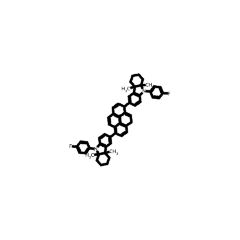 CC12CCCCC1(C)N(c1ccc(F)cc1)c1ccc(-c3ccc4c5c6c(ccc35)C=CC(c3ccc5c(c3)C3(C)CCCCC3(C)N5c3ccc(F)cc3)C6=CC4)cc12